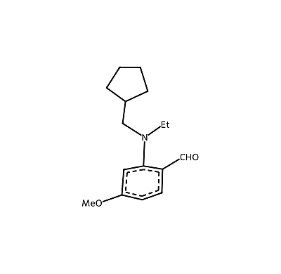 CCN(CC1CCCC1)c1cc(OC)ccc1C=O